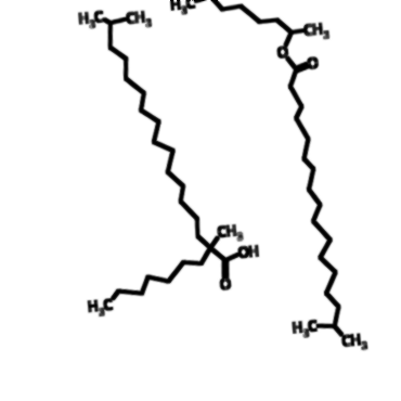 CCCCCCC(C)OC(=O)CCCCCCCCCCCCCCC(C)C.CCCCCCCC(C)(CCCCCCCCCCCCCC(C)C)C(=O)O